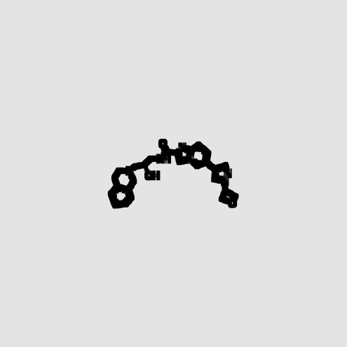 O=C(NC[C@H](O)CN1CCc2ccccc2C1)c1cn2cc(-c3cnn(C4COC4)c3)ccc2n1